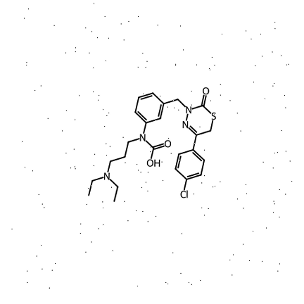 CCN(CC)CCCN(C(=O)O)c1cccc(CN2N=C(c3ccc(Cl)cc3)CSC2=O)c1